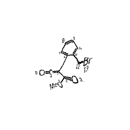 COC(=O)C(=C=O)c1ccccc1CBr